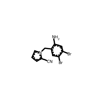 N#Cc1cccn1Cc1cc(Br)c(Br)cc1N